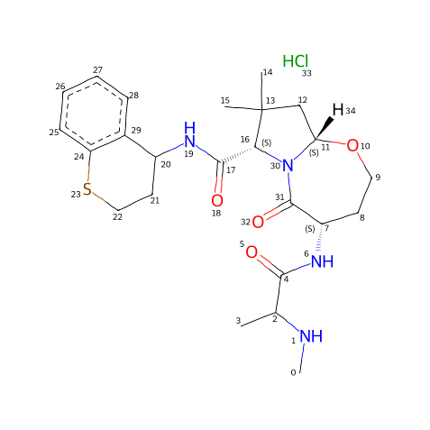 CNC(C)C(=O)N[C@H]1CCO[C@H]2CC(C)(C)[C@@H](C(=O)NC3CCSc4ccccc43)N2C1=O.Cl